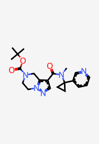 CN(C(=O)c1cnn2c1CN(C(=O)OC(C)(C)C)CC2)C1(c2cccnc2)CC1